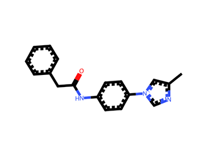 Cc1cn(-c2ccc(NC(=O)Cc3ccccc3)cc2)cn1